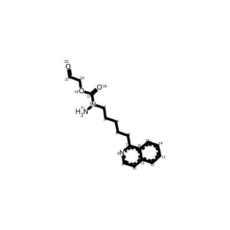 NN(CCCCCc1nccc2ccccc12)C(=O)OCC=O